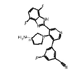 N#Cc1cc(F)cc(-c2cncc(-c3nc4c(F)ccc(F)c4[nH]3)c2N2CC[C@H](N)C2)c1